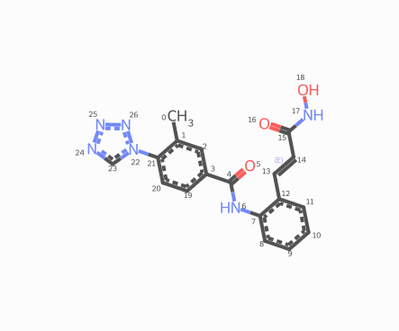 Cc1cc(C(=O)Nc2ccccc2/C=C/C(=O)NO)ccc1-n1cnnn1